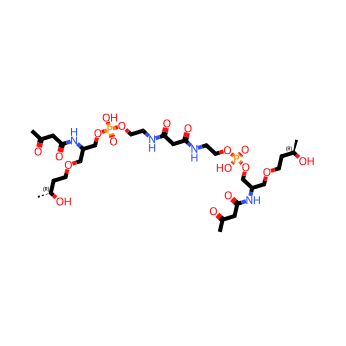 CC(=O)CC(=O)NC(COCC[C@@H](C)O)COP(=O)(O)OCCNC(=O)CC(=O)NCCOP(=O)(O)OCC(COCC[C@@H](C)O)NC(=O)CC(C)=O